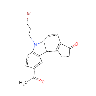 CC(=O)c1ccc2c(c1)C1C3=C(C=CC1N2CCCBr)C(=O)CC3